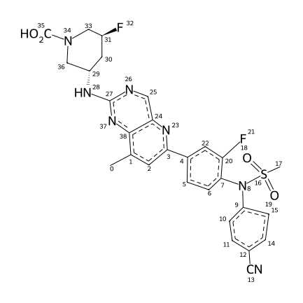 Cc1cc(-c2ccc(N(c3ccc(C#N)cc3)S(C)(=O)=O)c(F)c2)nc2cnc(N[C@H]3C[C@H](F)CN(C(=O)O)C3)nc12